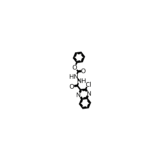 O=C(NNC(=O)c1nc2ccccc2nc1Cl)Oc1ccccc1